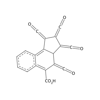 O=C=C1C(=C=O)C2=c3ccccc3=C(C(=O)O)C(=C=O)C2C1=C=O